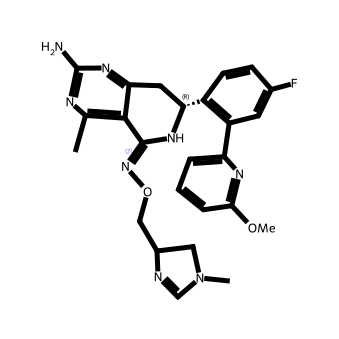 COc1cccc(-c2cc(F)ccc2[C@H]2Cc3nc(N)nc(C)c3/C(=N/OCC3CN(C)C=N3)N2)n1